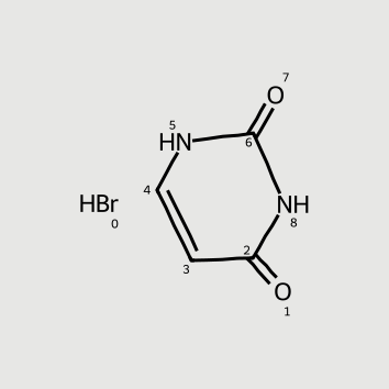 Br.O=c1cc[nH]c(=O)[nH]1